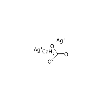 O=C([O-])[O-].[Ag+].[Ag+].[CaH2]